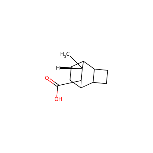 C[C@@H]1C2CCC(C3CCC32)C1C(=O)O